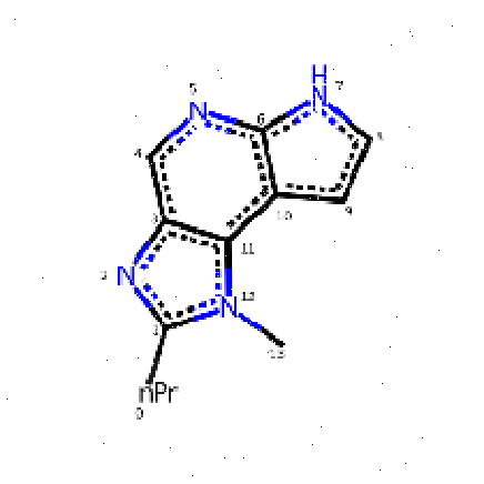 CCCc1nc2cnc3[nH]ccc3c2n1C